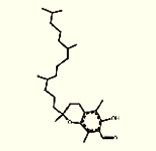 Cc1c(O)c(C=O)c(C)c2c1CCC(C)(CCCC(C)CCCC(C)CCCC(C)C)O2